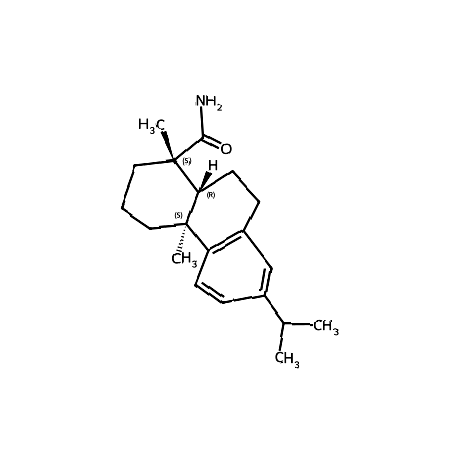 CC(C)c1ccc2c(c1)CC[C@H]1[C@@](C)(C(N)=O)CCC[C@]21C